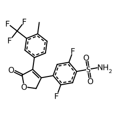 Cc1ccc(C2=C(c3cc(F)c(S(N)(=O)=O)cc3F)COC2=O)cc1C(F)(F)F